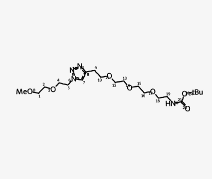 COCCOCCn1cc(CCOCCOCCOCCNC(=O)OC(C)(C)C)nn1